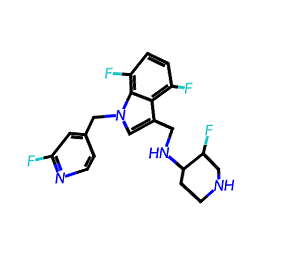 Fc1cc(Cn2cc(CNC3CCNCC3F)c3c(F)ccc(F)c32)ccn1